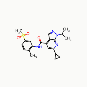 Cc1ccc(S(C)(=O)=O)cc1NC(=O)c1cc(C2CC2)nc2c1cnn2C(C)C